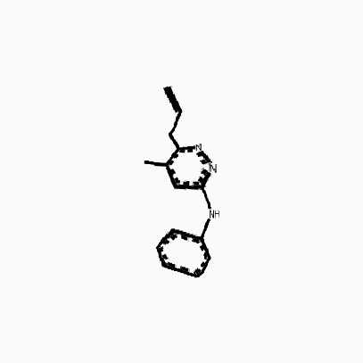 C=CCc1nnc(Nc2ccccc2)cc1C